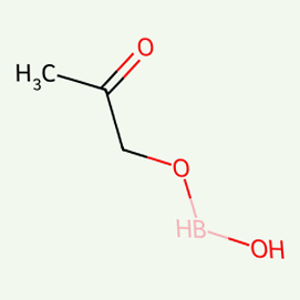 CC(=O)COBO